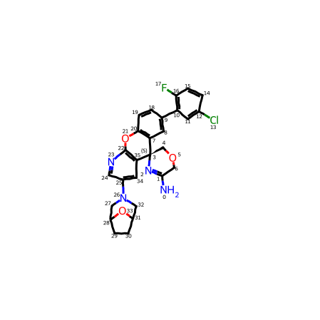 NC1=N[C@@]2(COC1)c1cc(-c3cc(Cl)ccc3F)ccc1Oc1ncc(N3CC4CCC(C3)O4)cc12